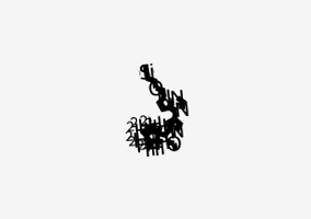 [2H]C1([2H])C([2H])([2H])C([2H])([2H])C([2H])([C@@H](COC)n2cc(-c3ncnc4c3ccn4COCC[Si](C)(C)C)cn2)C1([2H])[2H]